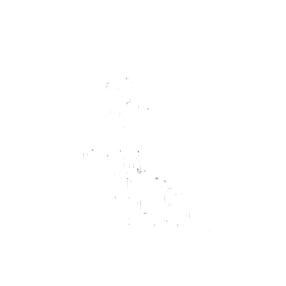 CC(F)C(=O)OCCCC(C)C1CCC2C3C(=O)CC4CC(=O)CCC4(C)C3CC(=O)C12C